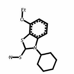 CCOc1cccc2c1SC(S[N])N2C1CCCCC1